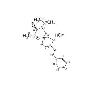 CC(C)N1CC2(CCN(CCc3ccccc3)CC2)O[C@H](C)C1=O.Cl